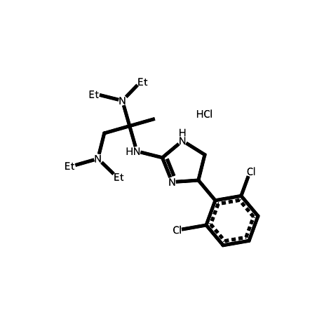 CCN(CC)CC(C)(NC1=NC(c2c(Cl)cccc2Cl)CN1)N(CC)CC.Cl